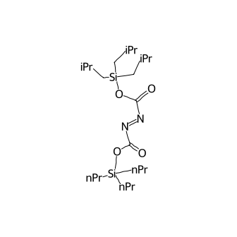 CCC[Si](CCC)(CCC)OC(=O)N=NC(=O)O[Si](CC(C)C)(CC(C)C)CC(C)C